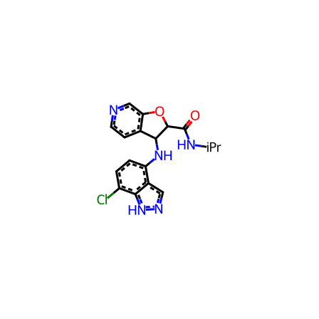 CC(C)NC(=O)C1Oc2cnccc2C1Nc1ccc(Cl)c2[nH]ncc12